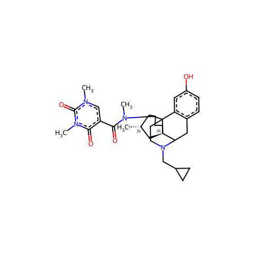 C[C@H]1C[C@@]23CCC(N(C)C(=O)c4cn(C)c(=O)n(C)c4=O)C1C21CCN(CC2CC2)C3Cc2ccc(O)cc21